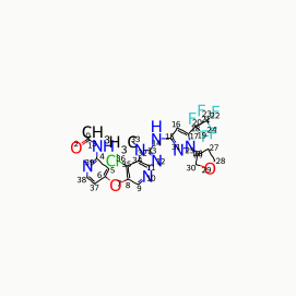 CC(=O)Nc1cc(Oc2cnc3nc(Nc4cc(C(F)(F)C(F)(F)F)n([C@@H]5CCOC5)n4)n(C)c3c2Cl)ccn1